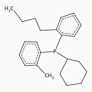 CCCCc1ccccc1P(c1ccccc1C)C1CCCCC1